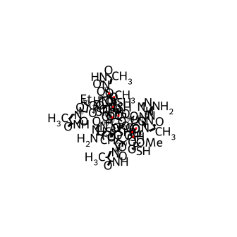 CC[C@H]1O[C@@H](n2cc(C)c(=O)[nH]c2=O)CC1OP(=O)(S)OC[C@H]1O[C@@H](n2cc(C)c(=O)[nH]c2=O)CC1OP(=O)(S)OC[C@H]1O[C@@H](n2cc(C)c(N)nc2=O)CC1OP(=O)(S)OC[C@H]1O[C@@H](n2cnc3c(N)ncnc32)CC1OP(=O)(S)OC[C@H]1O[C@@H](n2cc(C)c(=O)[nH]c2=O)CC1OP(=O)(S)OC[C@H]1O[C@@H](n2cc(C)c(=O)[nH]c2=O)CC1OP(=O)(S)OC[C@H]1O[C@@H](n2cc(C)c(=O)[nH]c2=O)CC1OP(=O)(S)OC